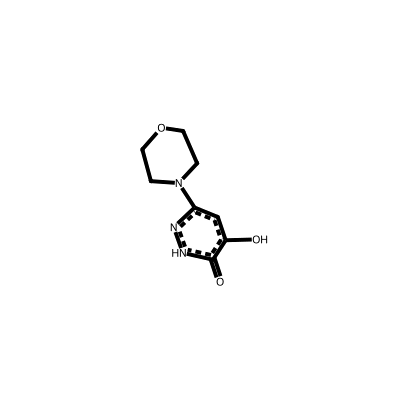 O=c1[nH]nc(N2CCOCC2)cc1O